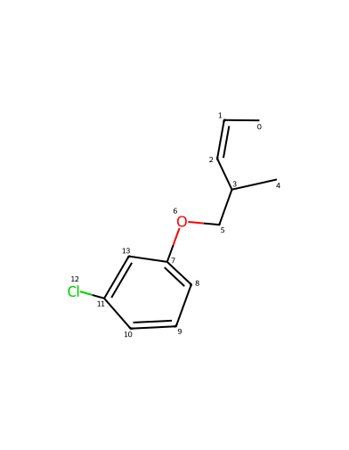 C/C=C\C(C)COc1cccc(Cl)c1